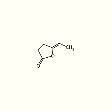 CC=C1CCC(=O)O1